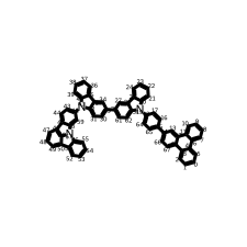 c1ccc2c(c1)c1ccccc1c1cc(-c3ccc(-n4c5ccccc5c5cc(-c6ccc7c(c6)c6ccccc6n7-c6ccc7c8cccc9c%10ccccc%10n(c7c6)c98)ccc54)cc3)ccc21